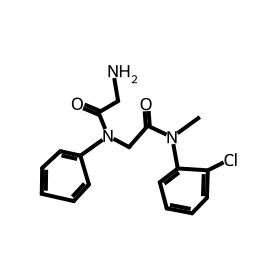 CN(C(=O)CN(C(=O)CN)c1ccccc1)c1ccccc1Cl